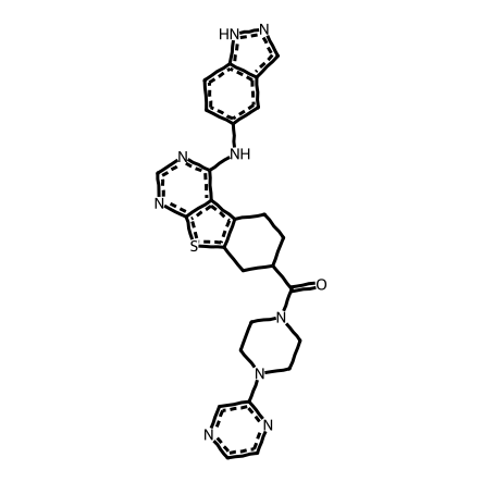 O=C(C1CCc2c(sc3ncnc(Nc4ccc5[nH]ncc5c4)c23)C1)N1CCN(c2cnccn2)CC1